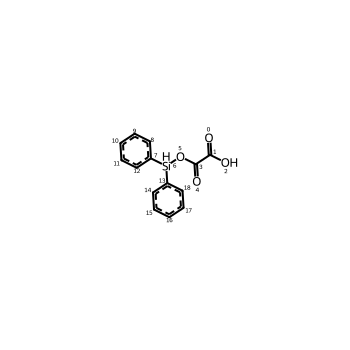 O=C(O)C(=O)O[SiH](c1ccccc1)c1ccccc1